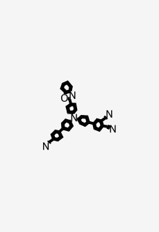 N#Cc1ccc(-c2ccc(N(c3ccc(-c4ccc(C#N)c(C#N)c4)cc3)c3ccc(-c4nc5ccccc5o4)cc3)cc2)cc1